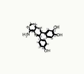 Nc1ncnc2nc(-c3ccc(O)c(O)c3)c(-c3ccc(O)cc3)nc12